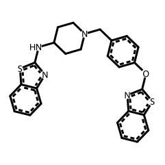 c1ccc2sc(NC3CCN(Cc4ccc(Oc5nc6ccccc6s5)cc4)CC3)nc2c1